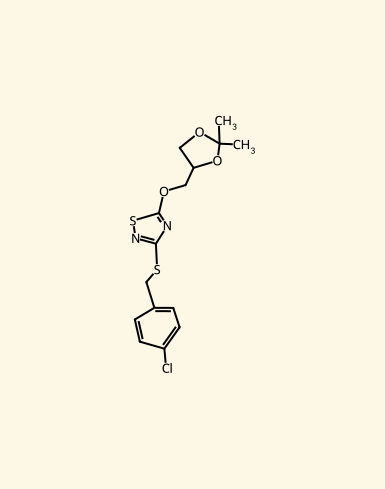 CC1(C)OCC(COc2nc(SCc3ccc(Cl)cc3)ns2)O1